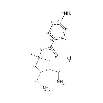 C[N+](CCCN)(CCCN)CC(=O)c1ccc(N)cc1.[Cl-]